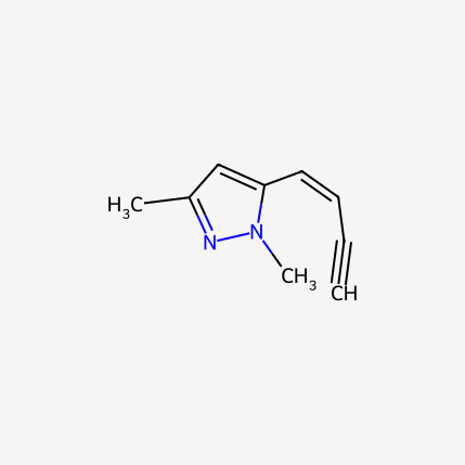 C#C/C=C\c1cc(C)nn1C